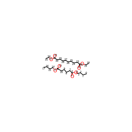 CCCCOC(=O)CCCCC(=O)OCCCC.CCOC(=O)CCCCCCCCC(=O)OCC